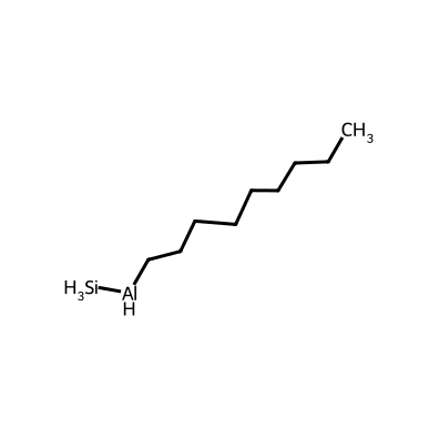 CCCCCCCC[CH2][AlH][SiH3]